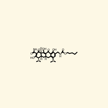 CCCCCOC(=O)NCc1cc(N(C)C)c2c(c1O)C(=O)C1=C(O)[C@@]3(O)C(=O)C(C(N)=O)=C(O)[C@H](N(C)C)[C@H]3C[C@H]1C2